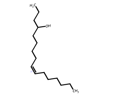 CCCCCC/C=C\CCCCC(O)CCC